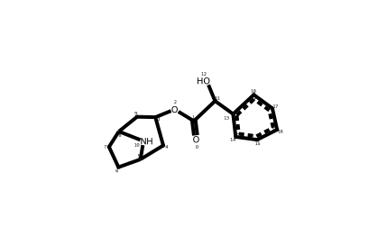 O=C(OC1CC2CCC(C1)N2)C(O)c1ccccc1